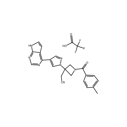 Cc1ccc(C(=O)N2CC(CC#N)(n3cc(-c4ncnc5[nH]ccc45)cn3)C2)cc1.O=C(O)C(F)(F)F